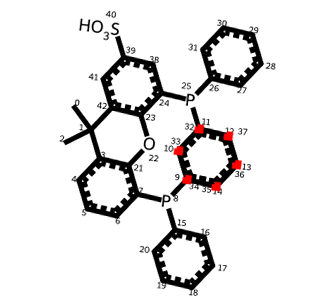 CC1(C)c2cccc(P(c3ccccc3)c3ccccc3)c2Oc2c(P(c3ccccc3)c3ccccc3)cc(S(=O)(=O)O)cc21